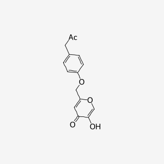 CC(=O)Cc1ccc(OCc2cc(=O)c(O)co2)cc1